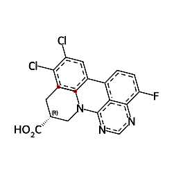 O=C(O)[C@@H]1CCCN(c2ncnc3c(F)ccc(-c4ccc(Cl)c(Cl)c4)c23)C1